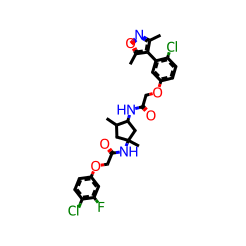 Cc1noc(C)c1-c1cc(OCC(=O)NC2CC(C)(NC(=O)COc3ccc(Cl)c(F)c3)CC2C)ccc1Cl